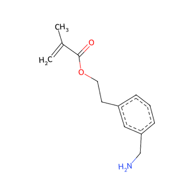 C=C(C)C(=O)OCCc1cccc(CN)c1